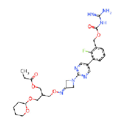 CCC(=O)OCC(CON=C1CN(c2ncc(-c3cccc(COC(=O)NC(=N)N)c3F)cn2)C1)COC1CCCCO1